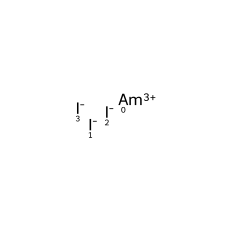 [Am+3].[I-].[I-].[I-]